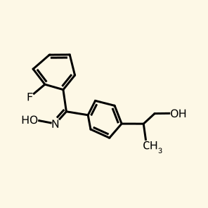 CC(CO)c1ccc(C(=NO)c2ccccc2F)cc1